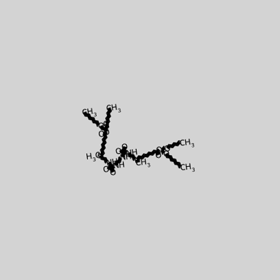 CCCCCCCCOCC(COCCCCCC)OC(=O)CCCCCCCN(C)CCCNc1c(NCCCNc2c(NCCCN(C)CCCCCCCC(=O)OC(COCCCCCC)COCCCCCCCC)c(=O)c2=O)c(=O)c1=O